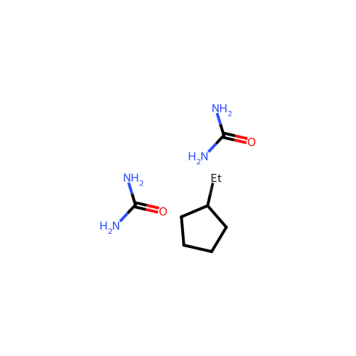 CCC1CCCC1.NC(N)=O.NC(N)=O